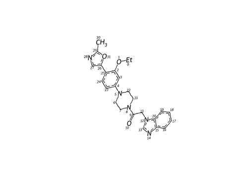 CCOc1cc(N2CCN(C(=O)Cn3cnc4ccccc43)CC2)ccc1-c1cnc(C)o1